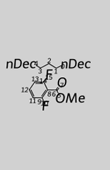 CCCCCCCCCCCCCCCCCCCCCCC.COC(=O)c1c(F)cccc1F